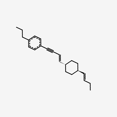 CCC=C[C@H]1CC[C@H](C=CC#Cc2ccc(CCC)cc2)CC1